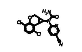 N#Cc1ccc(N(C(N)=O)C2C3COc4c(Cl)ccc(Cl)c4C32)nc1